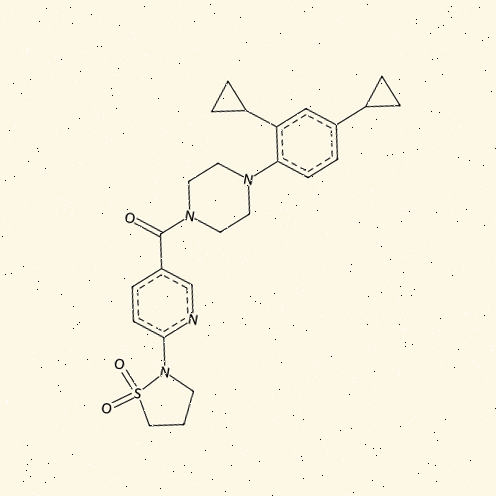 O=C(c1ccc(N2CCCS2(=O)=O)nc1)N1CCN(c2ccc(C3CC3)cc2C2CC2)CC1